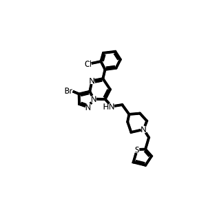 Clc1ccccc1-c1cc(NCC2CCN(Cc3cccs3)CC2)n2ncc(Br)c2n1